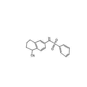 N#CC1CCCc2cc(NS(=O)(=O)c3ccccc3)ccc21